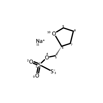 O=S(=O)([S-])OC[C@H]1CCCO1.[Na+]